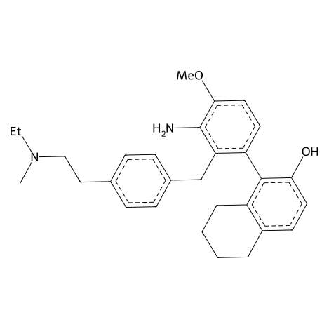 CCN(C)CCc1ccc(Cc2c(-c3c(O)ccc4c3CCCC4)ccc(OC)c2N)cc1